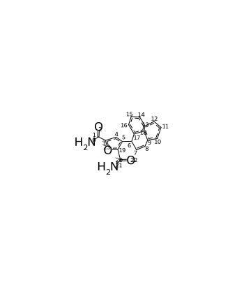 NC(=O)c1cc(C2C=Cc3cccc4cccc2c34)c(C(N)=O)o1